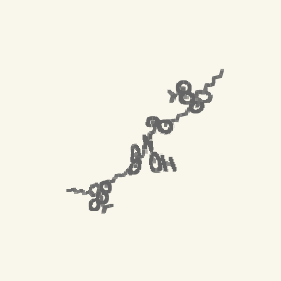 C=C(C)C(=O)Oc1cc(CCCCC)ccc1OCCCCCOC(=O)CCN(CCO)CCC(=O)OCCCCCOc1ccc(CCCCC)cc1OC(=O)C(=C)C